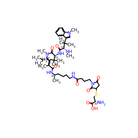 CN[C@H](C(=O)N[C@H](C(=O)N(C)[C@H](/C=C(\C)C(=O)N[C@H](C)CCCCNC(=O)CCCN1C(=O)CC(SC[C@H](N)C(=O)O)C1=O)C(C)C)C(C)(C)C)C(C)(C)c1cn(C)c2ccccc12